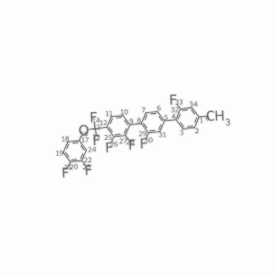 Cc1ccc(-c2ccc(-c3ccc(C(F)(F)Oc4ccc(F)c(F)c4)c(F)c3F)c(F)c2)c(F)c1